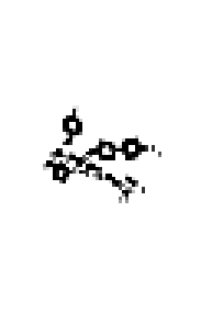 O=C1NCCN1CCNCc1nnc(Cn2c(SCc3ccc(F)cc3)nc(=O)c3c2CCC3)n1Cc1ccc(-c2ccc(C(F)(F)F)cc2)cc1